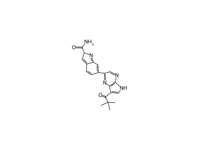 CC(C)(C)C(=O)c1c[nH]c2ncc(-c3c[c]c4c(c3)=NC(C(N)=O)C=4)nc12